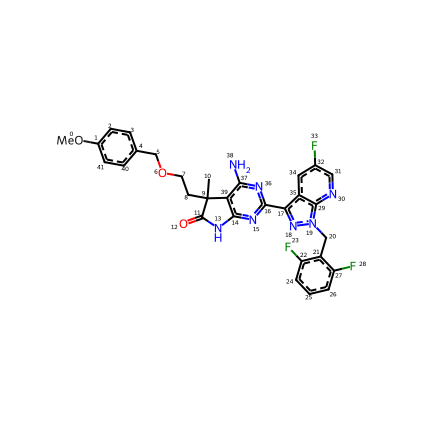 COc1ccc(COCCC2(C)C(=O)Nc3nc(-c4nn(Cc5c(F)cccc5F)c5ncc(F)cc45)nc(N)c32)cc1